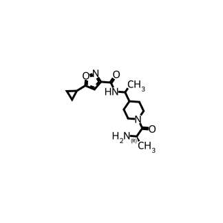 CC(NC(=O)c1cc(C2CC2)on1)C1CCN(C(=O)[C@@H](C)N)CC1